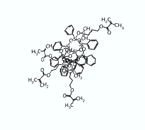 C=C(C)C(=O)OCCC[Si](C)(C)O[Si]1(c2ccccc2)O[Si]2(c3ccccc3)O[Si](O[Si](C)(C)CCCOC(=O)C(=C)C)(c3ccccc3)O[Si](c3ccccc3)(O1)O[Si]1(c3ccccc3)O[Si](O[Si](C)(C)CCCOC(=O)C(=C)C)(c3ccccc3)O[Si](c3ccccc3)(O[Si](O[Si](C)(C)CCCOC(=O)C(=C)C)(c3ccccc3)O1)O2